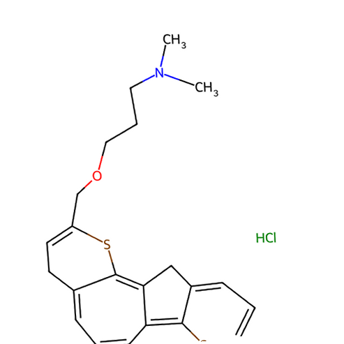 CN(C)CCCOCC1=CCC2=CC=CC3=C4SC=CC=C4CC3=C2S1.Cl